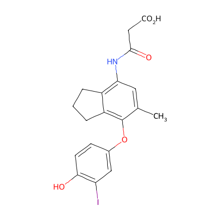 Cc1cc(NC(=O)CC(=O)O)c2c(c1Oc1ccc(O)c(I)c1)CCC2